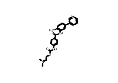 CN(C)CCOC(=O)Nc1ccc(C(=O)Nc2cc(-c3cccnc3)ccc2N)cc1